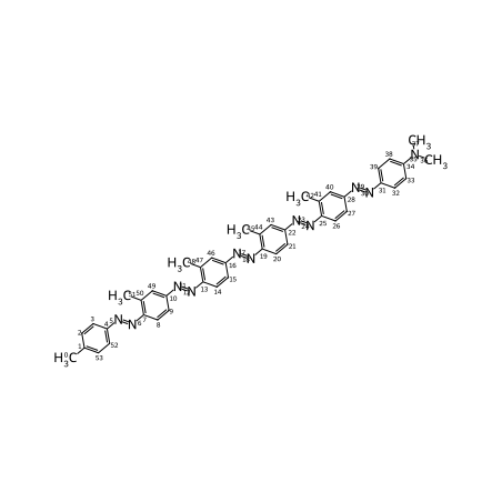 Cc1ccc(N=Nc2ccc(N=Nc3ccc(N=Nc4ccc(N=Nc5ccc(N=Nc6ccc(N(C)C)cc6)cc5C)cc4C)cc3C)cc2C)cc1